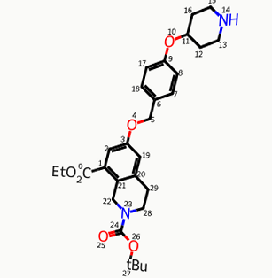 CCOC(=O)c1cc(OCc2ccc(OC3CCNCC3)cc2)cc2c1CN(C(=O)OC(C)(C)C)CC2